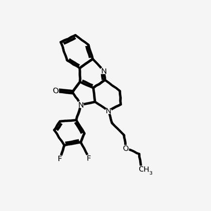 CCOCCN1CCc2nc3ccccc3c3c2C1N(c1ccc(F)c(F)c1)C3=O